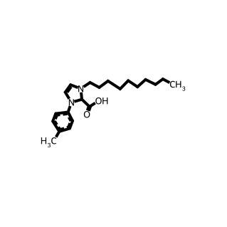 CCCCCCCCCCN1C=CN(c2ccc(C)cc2)C1C(=O)O